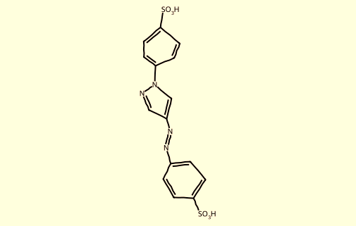 O=S(=O)(O)c1ccc(/N=N/c2cnn(-c3ccc(S(=O)(=O)O)cc3)c2)cc1